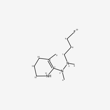 CC1=C(N(C)N(C)CCCF)NCCC1